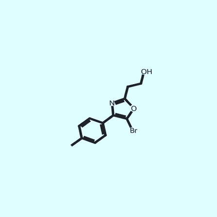 Cc1ccc(-c2nc(CCO)oc2Br)cc1